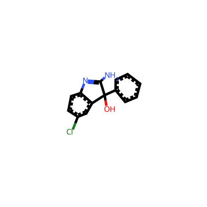 NC1=Nc2ccc(Cl)cc2C1(O)c1ccccc1